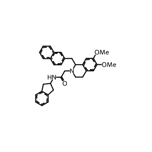 COc1cc2c(cc1OC)C(Cc1ccc3ccccc3c1)N(CC(=O)NC1Cc3ccccc3C1)CC2